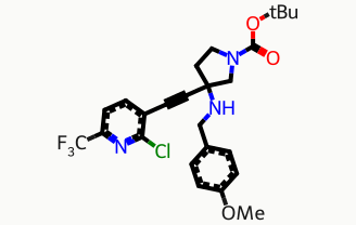 COc1ccc(CNC2(C#Cc3ccc(C(F)(F)F)nc3Cl)CCN(C(=O)OC(C)(C)C)C2)cc1